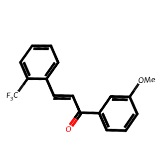 COc1cccc(C(=O)C=Cc2ccccc2C(F)(F)F)c1